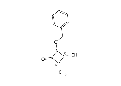 C[C@@H]1C(=O)N(OCc2ccccc2)[C@@H]1C